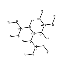 CCN(CC)C(C)N(C(C)N(CC)CC)C(C)N(CC)CC